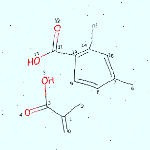 C=C(C)C(=O)O.Cc1ccc(C(=O)O)c(C)c1